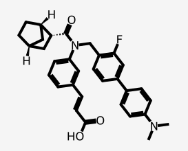 CN(C)c1ccc(-c2ccc(CN(C(=O)[C@@H]3C[C@@H]4CC[C@H]3C4)c3cccc(C=CC(=O)O)c3)c(F)c2)cc1